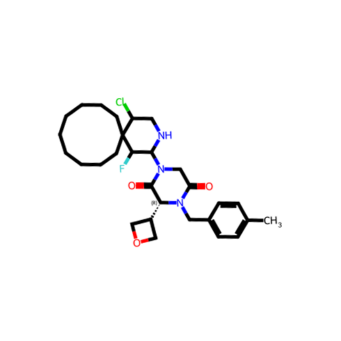 Cc1ccc(CN2C(=O)CN(C3NCC(Cl)C4(CCCCCCCCC4)C3F)C(=O)[C@H]2C2COC2)cc1